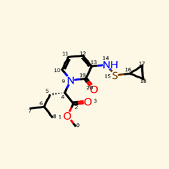 COC(=O)[C@H](CC(C)C)n1cccc(NSC2CC2)c1=O